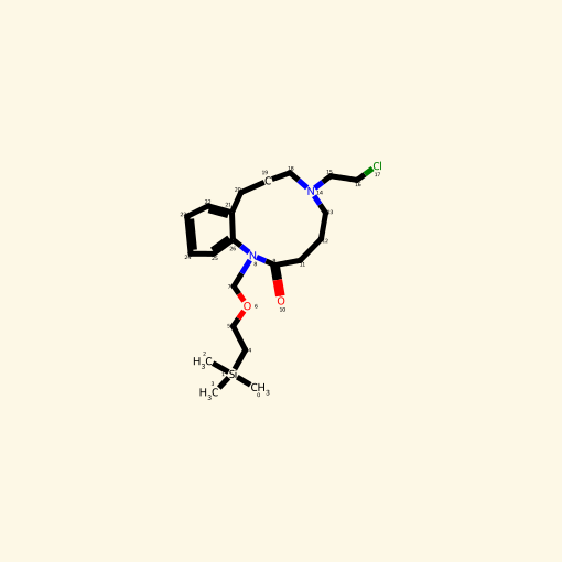 C[Si](C)(C)CCOCN1C(=O)CCCN(CCCl)CCCc2ccccc21